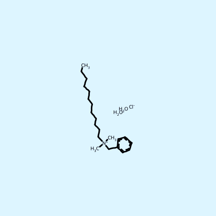 CCCCCCCCCCCC[N+](C)(C)Cc1ccccc1.O.O.[Cl-]